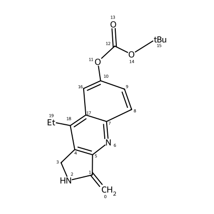 C=C1NCc2c1nc1ccc(OC(=O)OC(C)(C)C)cc1c2CC